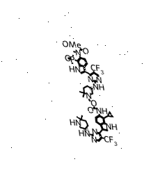 COC(=O)N(C)c1ccc2c(-c3nc(N[C@H]4CCC(C)(C)N(COC(=O)Nc5ccc6c(-c7nc(N[C@H]8CCC(C)(C)NC8)ncc7C(F)(F)F)c[nH]c6c5C5CC5)C4)ncc3C(F)(F)F)c[nH]c2c1P(C)(C)=O